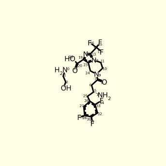 NCCO.N[C@@H](CC(=O)N1CCn2c(C(F)(F)F)nc(C(=O)O)c2C1)Cc1cc(F)c(F)cc1F